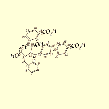 CCC(O)C(Cc1ccccc1)C(Cc1ccccc1)C(C)O.O=C(O)c1ccccc1.O=C(O)c1ccccc1